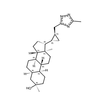 Cc1nnn(C[C@H]2C[C@@H]2[C@H]2CC[C@H]3[C@@H]4CC[C@@H]5C[C@](C)(O)CC[C@@H]5[C@H]4CC[C@]23C)n1